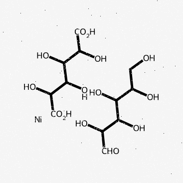 O=C(O)C(O)C(O)C(O)C(O)C(=O)O.O=CC(O)C(O)C(O)C(O)CO.[Ni]